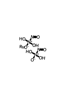 O=N[N+]([O-])(O)O.O=N[N+]([O-])(O)O.[Ru]